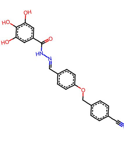 N#Cc1ccc(COc2ccc(/C=N/NC(=O)c3cc(O)c(O)c(O)c3)cc2)cc1